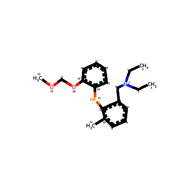 CCN(CC)Cc1cccc(C)c1Pc1ccccc1OCOC